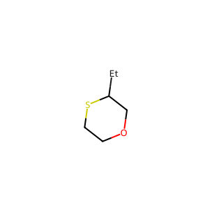 CCC1COCCS1